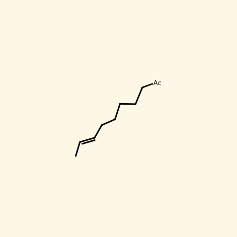 C/C=C/CCCCCC(C)=O